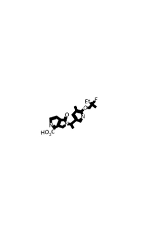 CCC(C)(F)COc1ncc(C(C)N2Cc3c(ccnc3C(=O)O)C2=O)cc1C